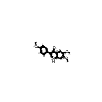 COc1ccc(-c2c[nH]c3cc(OC)c(OC)cc3c2=O)cc1